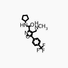 CNCc1c(C(=O)NC2CCCC2)noc1-c1ccc(C(F)(F)F)cc1